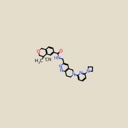 C[C@@]1(C#N)COCc2ccc(C(=O)NCc3cc4c(nn3)CCN(c3cccc(N5CCC5)n3)C4)cc21